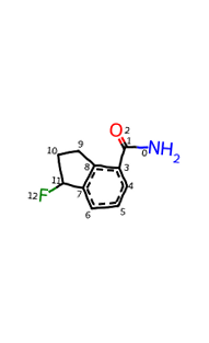 NC(=O)c1cccc2c1CCC2F